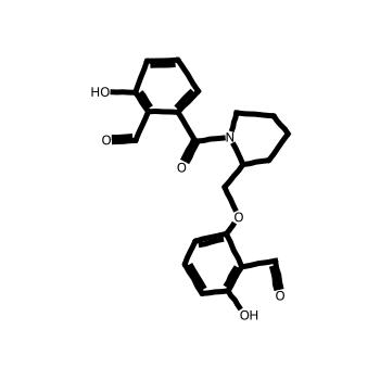 O=Cc1c(O)cccc1OCC1CCCCN1C(=O)c1cccc(O)c1C=O